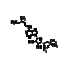 C=P(C)(C)CC(C)[C@H]1O[C@@H](n2cnc3c(NC/C=C(/C)CC)ncnc32)[C@H](O)[C@@H]1O